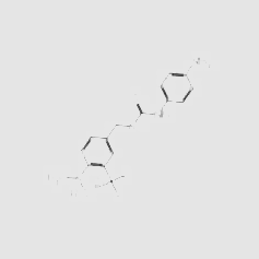 CN(C)c1ccc(CNC(=S)Nc2ccc(N)cc2)cc1C(F)(F)F